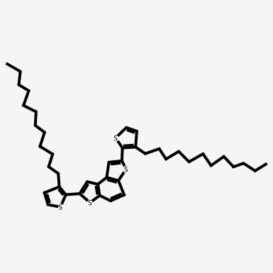 CCCCCCCCCCCCc1ccsc1-c1cc2c(ccc3sc(-c4sccc4CCCCCCCCCCCC)cc32)s1